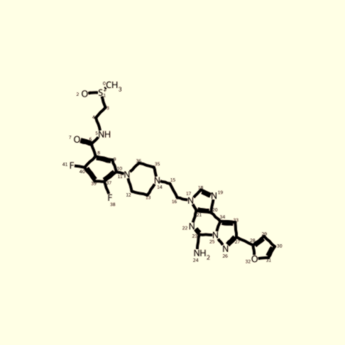 C[S+]([O-])CCNC(=O)c1cc(N2CCN(CCn3cnc4c3nc(N)n3nc(-c5ccco5)cc43)CC2)c(F)cc1F